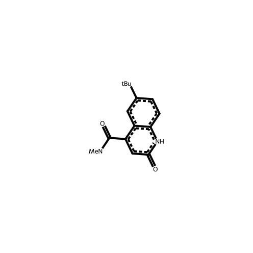 CNC(=O)c1cc(=O)[nH]c2ccc(C(C)(C)C)cc12